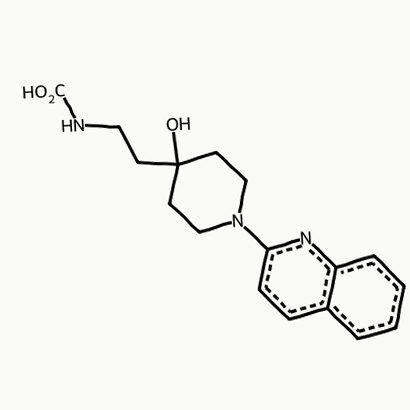 O=C(O)NCCC1(O)CCN(c2ccc3ccccc3n2)CC1